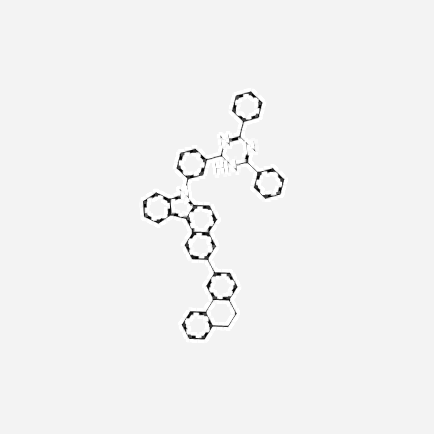 c1ccc(C2=NC(c3cccc(-n4c5ccccc5c5c6ccc(-c7ccc8c(c7)-c7ccccc7CC8)cc6ccc54)c3)NC(c3ccccc3)=N2)cc1